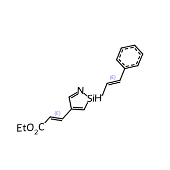 CCOC(=O)/C=C/C1=C[SiH](C/C=C/c2ccccc2)N=C1